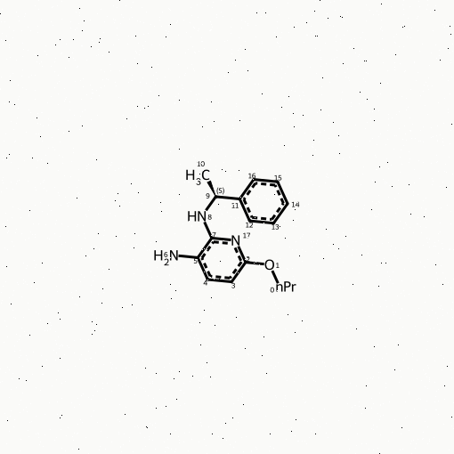 CCCOc1ccc(N)c(N[C@@H](C)c2ccccc2)n1